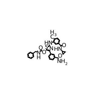 Cc1ccc(C(=O)NC2CC2)cc1Nc1nc(-c2cccc(C(N)=O)c2)c(OC(=O)NCc2ccccc2)s1